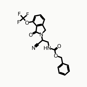 N#CC(CNC(=O)OCc1ccccc1)N1Cc2cccc(OC(F)(F)F)c2C1=O